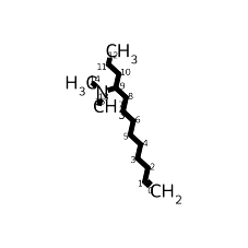 C=CCCCCCCCC(CCC)N(C)C